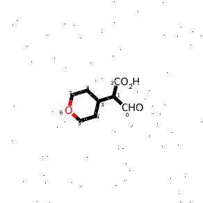 O=CC(C(=O)O)C1CCOCC1